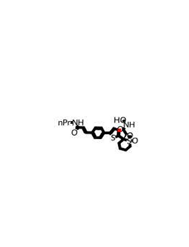 CCCNC(=O)/C=C/c1ccc(-c2ccc([C@@]3(CC(=O)NO)CCCCS3(=O)=O)s2)cc1